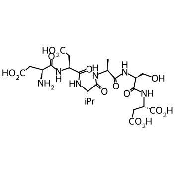 CC(C)[C@H](NC(=O)[C@H](CC(=O)O)NC(=O)[C@@H](N)CC(=O)O)C(=O)N[C@@H](C)C(=O)N[C@@H](CO)C(=O)N[C@@H](CC(=O)O)C(=O)O